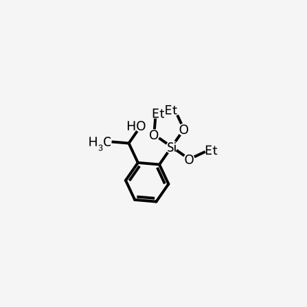 CCO[Si](OCC)(OCC)c1ccccc1C(C)O